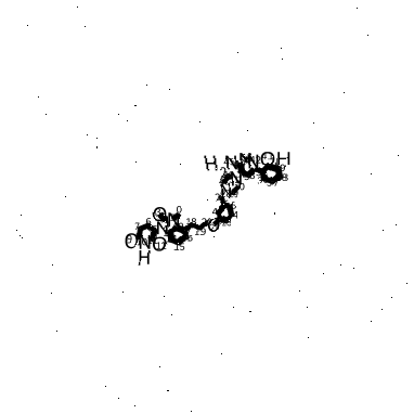 Cn1c(=O)n(C2CCC(=O)NC2=O)c2cccc(CCCOc3cccc(CN4CCN(c5cc(-c6ccccc6O)nnc5N)CC4)c3)c21